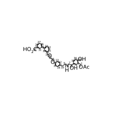 CC(=O)OCc1cc([C@@H](O)CNCCc2ccc(OCCOCc3cccc(-c4cccc(C(=O)O)c4)c3)cc2)ccc1O